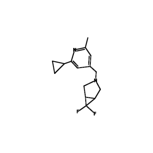 Cc1cc(CN2CC3C(C2)C3(F)F)cc(C2CC2)n1